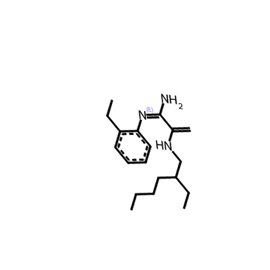 C=C(NCC(CC)CCCC)/C(N)=N\c1ccccc1CC